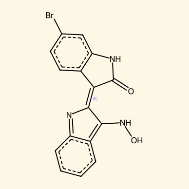 O=C1Nc2cc(Br)ccc2/C1=C1\N=c2ccccc2=C1NO